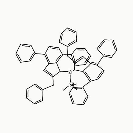 C[SiH](C)[Zr]([CH]1C(Cc2ccccc2)=Cc2c(-c3ccccc3)ccc(-c3ccccc3)c21)[CH]1C(Cc2ccccc2)=Cc2c(-c3ccccc3)ccc(-c3ccccc3)c21